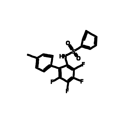 Cc1ccc(-c2c(F)c(F)c(F)c(F)c2NS(=O)(=O)c2ccccc2)cc1